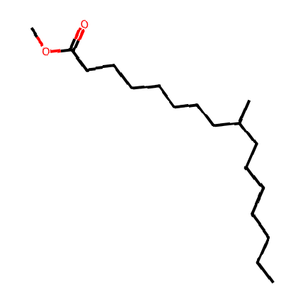 CCCCCCCC(C)CCCCCCCC(=O)OC